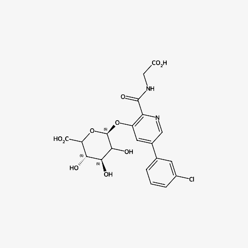 O=C(O)CNC(=O)c1ncc(-c2cccc(Cl)c2)cc1O[C@@H]1OC(C(=O)O)[C@@H](O)[C@H](O)C1O